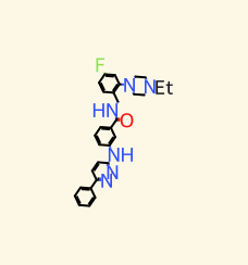 CCN1CCN(c2cc(F)ccc2CNC(=O)c2cccc(Nc3ccc(-c4ccccc4)nn3)c2)CC1